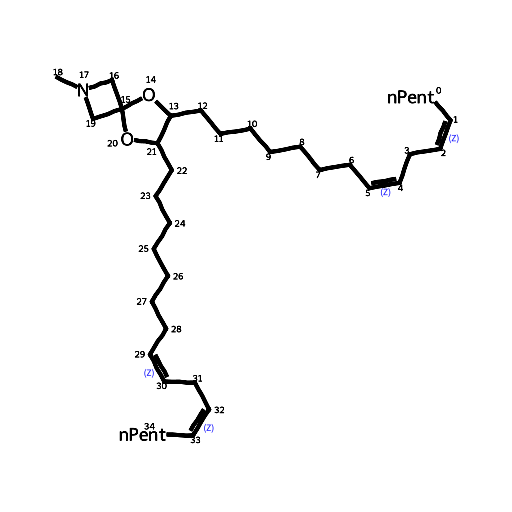 CCCCC/C=C\C/C=C\CCCCCCCC1OC2(CN(C)C2)OC1CCCCCCC/C=C\C/C=C\CCCCC